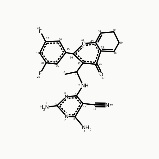 CC(Nc1nc(N)nc(N)c1C#N)c1c(-c2cc(F)cc(F)c2)oc2c(c1=O)=CCCC=2